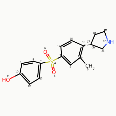 Cc1cc(S(=O)(=O)c2ccc(O)cc2)ccc1[C@@H]1CCNC1